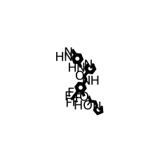 O=C(Nc1ccc(C(F)(F)C(F)(F)F)c(OC[C@H](O)CN2CCCC2)c1)c1cccnc1Nc1ccc2cn[nH]c2c1